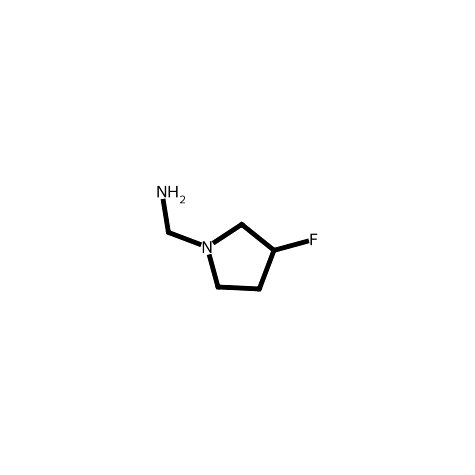 NCN1CCC(F)C1